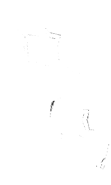 Clc1ccc(Oc2cccc(CBr)c2)cc1